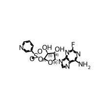 Nc1nc(F)nc2c1ncn2[C@@H]1O[C@H](OS(=O)(=O)c2cccnc2)[C@@H](O)[C@H]1O